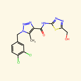 Cc1c(C(=O)Nc2nnc(CO)s2)nnn1Cc1ccc(Cl)c(Cl)c1